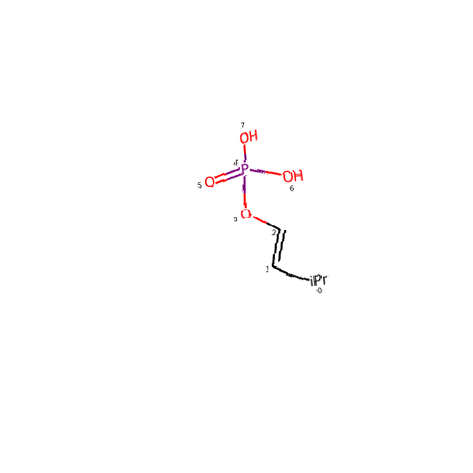 CC(C)C=COP(=O)(O)O